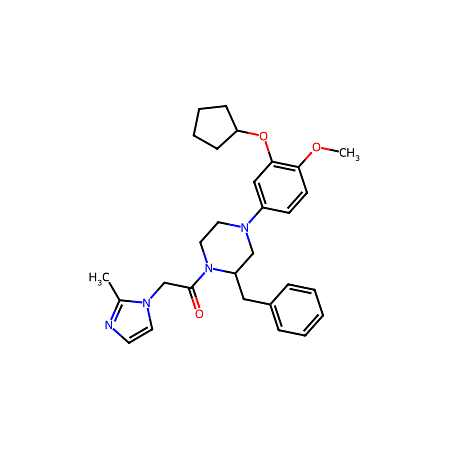 COc1ccc(N2CCN(C(=O)Cn3ccnc3C)C(Cc3ccccc3)C2)cc1OC1CCCC1